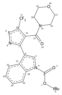 CC(C)(C)OC(=O)n1cc(-c2nsc(C(F)(F)F)c2C(=O)N2CCOCC2)c2ccccc21